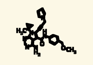 COCc1ccc(NC(=O)c2c(C#CCn3cccc3)n(C3(C)CC3)c3ncnc(N)c23)cc1